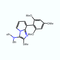 CCCN(CCC)c1c(SC)nc2c(-c3c(OC)cc(OC)cc3OC)cccn12